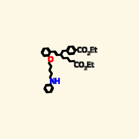 CCOC(=O)CCCCC(/C=C/c1ccccc1OCCCCCNc1ccccc1)Cc1ccc(C(=O)OCC)cc1